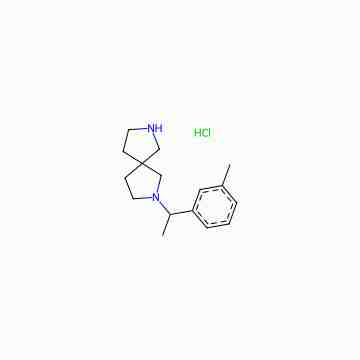 Cc1cccc(C(C)N2CCC3(CCNC3)C2)c1.Cl